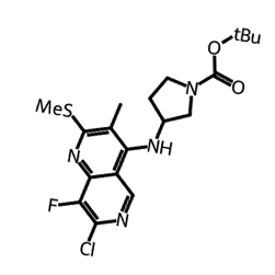 CSc1nc2c(F)c(Cl)ncc2c(NC2CCN(C(=O)OC(C)(C)C)C2)c1C